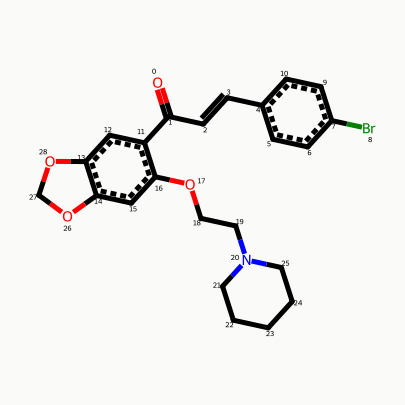 O=C(C=Cc1ccc(Br)cc1)c1cc2c(cc1OCCN1CCCCC1)OCO2